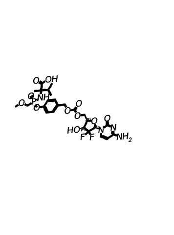 COCP(=O)(NC(C)(C(=O)O)C(C)C)Oc1ccc(COC(=O)OC[C@H]2O[C@@H](n3ccc(N)nc3=O)C(F)(F)[C@@H]2O)cc1